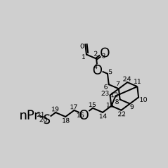 C=CC(=O)OCCC12CC3CC(CC(CCOCCCSCCC)(C3)C1)C2